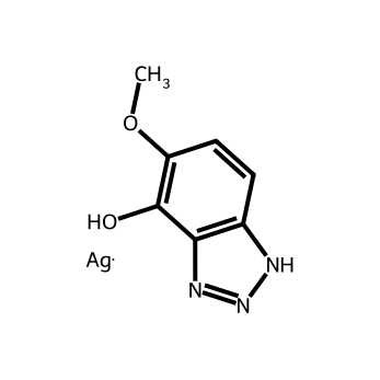 COc1ccc2[nH]nnc2c1O.[Ag]